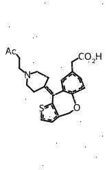 CC(=O)CCN1CCC(=C2c3cc(CC(=O)O)ccc3OCc3ccsc32)CC1